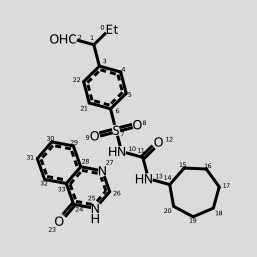 CCC(C=O)c1ccc(S(=O)(=O)NC(=O)NC2CCCCCC2)cc1.O=c1[nH]cnc2ccccc12